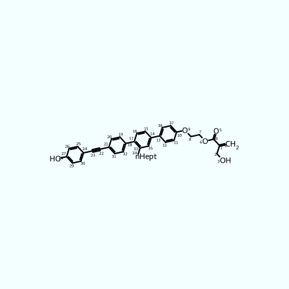 C=C(CO)C(=O)OCCOc1ccc(-c2ccc(-c3ccc(C#Cc4ccc(O)cc4)cc3)c(CCCCCCC)c2)cc1